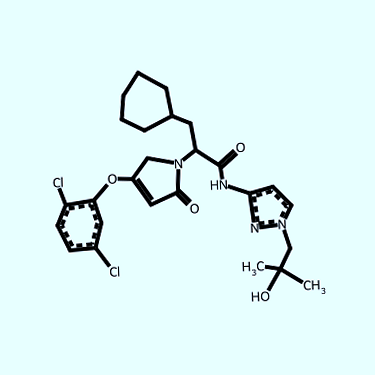 CC(C)(O)Cn1ccc(NC(=O)C(CC2CCCCC2)N2CC(Oc3cc(Cl)ccc3Cl)=CC2=O)n1